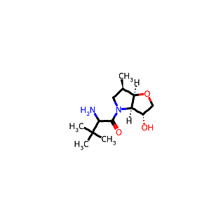 C[C@@H]1CN(C(=O)C(N)C(C)(C)C)[C@H]2[C@@H]1OC[C@@H]2O